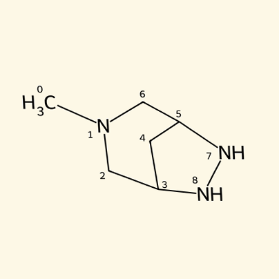 CN1CC2CC(C1)NN2